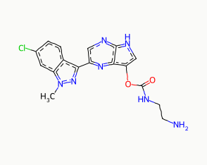 Cn1nc(-c2cnc3[nH]cc(OC(=O)NCCN)c3n2)c2ccc(Cl)cc21